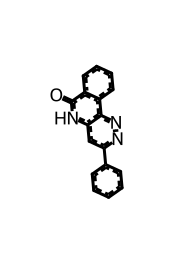 O=c1[nH]c2cc(-c3ccccc3)nnc2c2ccccc12